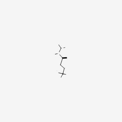 C[C@@H](C(=O)O)N(C)C(=O)CCC(C)(C)S